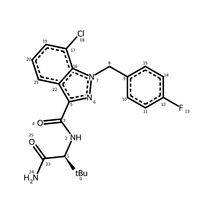 CC(C)(C)[C@H](NC(=O)c1nn(Cc2ccc(F)cc2)c2c(Cl)cccc12)C(N)=O